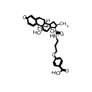 C[C@@H]1CC2[C@@H]3CCC4=CC(=O)C=C[C@]4(C)[C@@]3(F)[C@@H](O)C[C@]2(C)[C@H]1C(=O)NCCCOc1ccc(C(=O)O)cc1